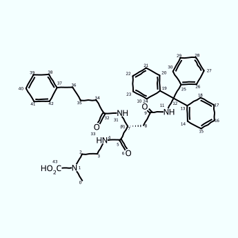 CN(CCNC(=O)[C@@H](CC(=O)NC(c1ccccc1)(c1ccccc1)c1ccccc1)NC(=O)CCCc1ccccc1)C(=O)O